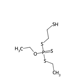 CCOP(=S)(SCC)SCCS